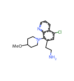 COC1CCN(c2c(CCN)cc(Cl)c3cccnc23)CC1